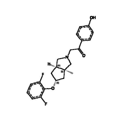 C[C@]12C[C@H](Oc3c(F)cccc3F)C[C@H]1CN(CC(=O)c1ccc(O)cc1)C2